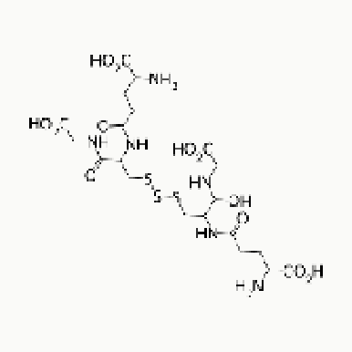 NC(CCC(=O)NC(CSSSCC(NC(=O)CCC(N)C(=O)O)C(O)NCC(=O)O)C(=O)NCC(=O)O)C(=O)O